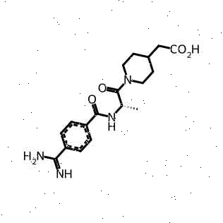 C[C@H](NC(=O)c1ccc(C(=N)N)cc1)C(=O)N1CCC(CC(=O)O)CC1